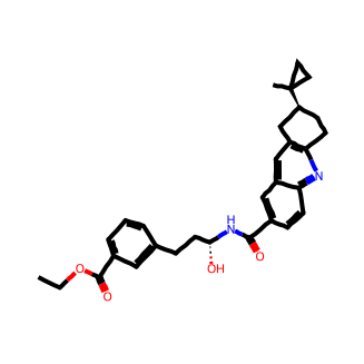 CCOC(=O)c1cccc(CC[C@@H](O)NC(=O)c2ccc3nc4c(cc3c2)C[C@@H](C2(C)CC2)CC4)c1